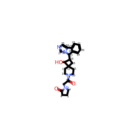 O=C(CN1CCCC1=O)N1CCC2(CC1)CC(C1c3ccccc3-c3cncn31)C2O